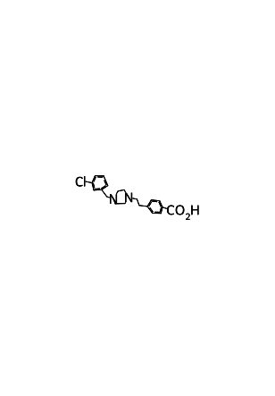 O=C(O)c1ccc(CCN2CCN(Cc3cccc(Cl)c3)CC2)cc1